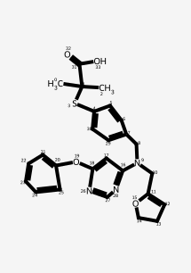 CC(C)(Sc1ccc(CN(CC2=CCCO2)c2cc(Oc3ccccc3)ncn2)cc1)C(=O)O